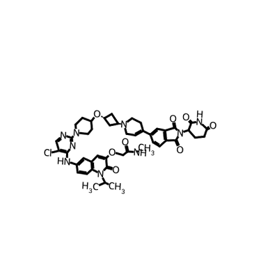 CNC(=O)COc1cc2cc(Nc3nc(N4CCC(O[C@H]5C[C@H](N6CC=C(c7ccc8c(c7)C(=O)N(C7CCC(=O)NC7=O)C8=O)CC6)C5)CC4)ncc3Cl)ccc2n(C(C)C)c1=O